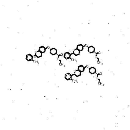 CCOC(=O)[C@H]1CC[C@@H](Oc2ccc3c(c2)CCC(c2ccccc2C)O3)CC1.CCOC(=O)[C@H]1CC[C@H](Oc2ccc3c(c2)CCC(c2ccccc2C)O3)CC1.CCOC(=O)[C@H]1CC[C@H](Oc2ccc3c(c2)CC[C@@H](c2ccccc2C)O3)CC1